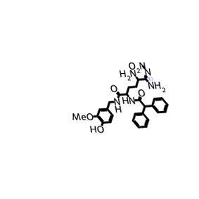 COc1cc(CNC(=O)C(CCC(N)/C(N)=N\[N+](=O)[O-])NC(=O)C(c2ccccc2)c2ccccc2)ccc1O